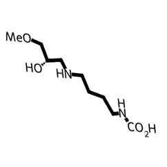 COC[C@@H](O)CNCCCCNC(=O)O